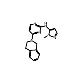 Cn1nccc1Nc1nccc(N2CCc3ccccc3C2)n1